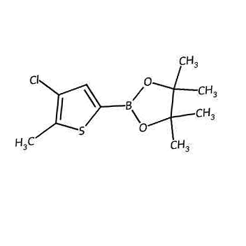 Cc1sc(B2OC(C)(C)C(C)(C)O2)cc1Cl